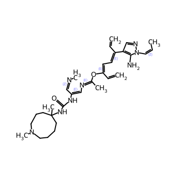 C=C/C(=C\C=C(/C=C)c1cnn(/C=C\C)c1N)O/C(C)=N/C=C(\C=N/C)NC(=O)NC1(C)CCCCN(C)CCC1